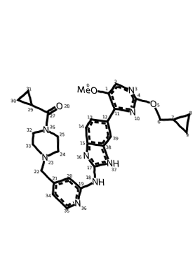 COc1cnc(OCC2CC2)nc1-c1ccc2nc(Nc3cc(CN4CCN(C(=O)C5CC5)CC4)ccn3)[nH]c2c1